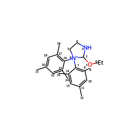 CCOC1NCC[N+]1(c1c(C)cc(C)cc1C)c1c(C)cc(C)cc1C